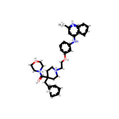 Cc1cc(Nc2cccc(OCCN3CCC(Cc4ccccc4)(C(=O)N4CCOCC4)CC3)c2)c2ccccc2n1